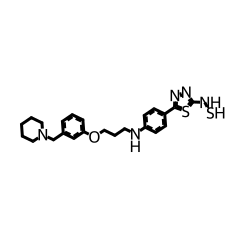 SNc1nnc(-c2ccc(NCCCOc3cccc(CN4CCCCC4)c3)cc2)s1